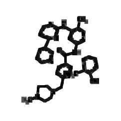 Cc1ccc(NC(=O)c2ccc(CN3CCN(C)CC3)cc2)cc1Nc1nccc(-c2cccnc2)n1.O=C(O)c1ccccc1O